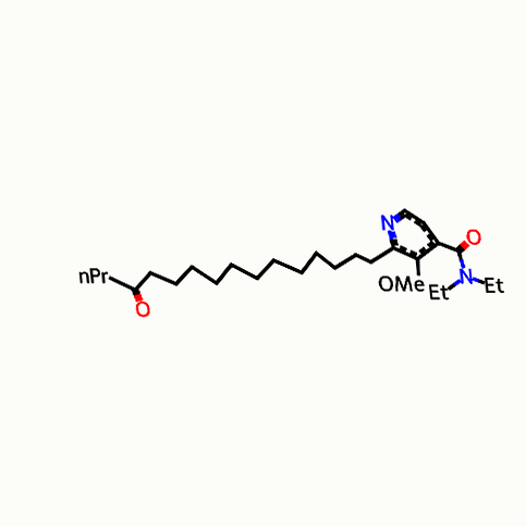 CCCC(=O)CCCCCCCCCCCCc1nccc(C(=O)N(CC)CC)c1OC